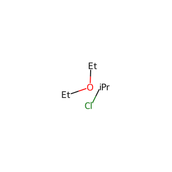 CC(C)Cl.CCOCC